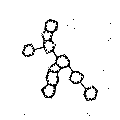 c1ccc(-c2ccc(-c3ccc(-c4nc(-c5ccccc5)c5sc6ccccc6c5n4)c4oc5cc6ccccc6cc5c34)cc2)cc1